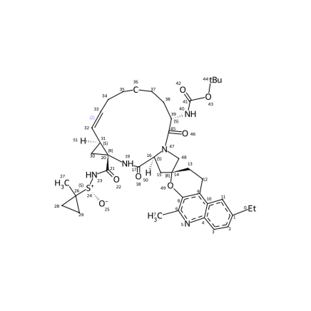 CCc1ccc2nc(C)c3c(c2c1)CC[C@]1(C[C@H]2C(=O)N[C@]4(C(=O)N[S@+]([O-])C5(C)CC5)C[C@H]4/C=C\CCCCC[C@H](NC(=O)OC(C)(C)C)C(=O)N2C1)O3